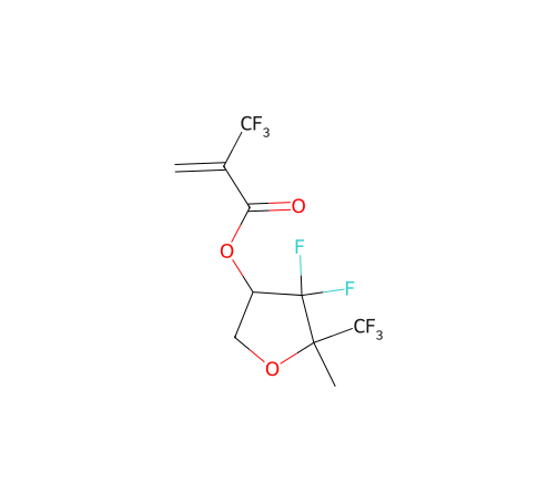 C=C(C(=O)OC1COC(C)(C(F)(F)F)C1(F)F)C(F)(F)F